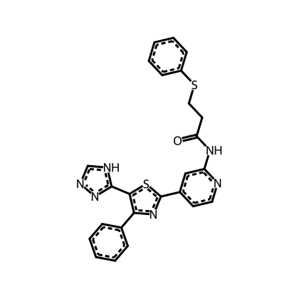 O=C(CCSc1ccccc1)Nc1cc(-c2nc(-c3ccccc3)c(-c3nnc[nH]3)s2)ccn1